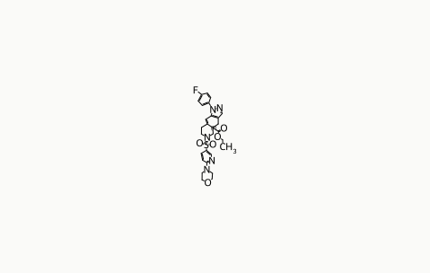 CCOC(=O)[C@]12Cc3cnn(-c4ccc(F)cc4)c3C=C1CCN(S(=O)(=O)c1ccc(N3CCOCC3)nc1)C2